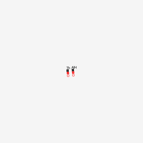 [O]=[AlH].[O]=[Th]